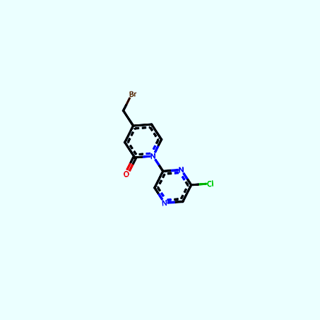 O=c1cc(CBr)ccn1-c1cncc(Cl)n1